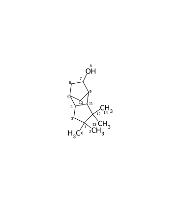 CC1(C)CC2C3CC(O)C(C3)C2C1(C)C